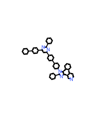 c1ccc(-c2ccc(-c3cc(-c4ccc(-c5ccc(-n6c(-c7ccccc7)nc7c8cnccc8c8ccccc8c76)cc5)cc4)nc(-c4ccccc4)n3)cc2)cc1